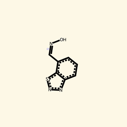 O/N=C\c1cccc2nnsc12